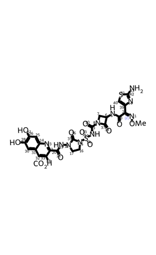 CO/N=C(\C(=O)NC1CN(C(=O)NS(=O)(=O)N2CCN(NC(=O)c3nc4cc(O)c(O)cc4cc3C(=O)O)C2=O)C1=O)c1csc(N)n1